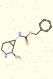 C[C@H]1NCC[C@]2(F)C1[C@H]2NC(=O)OCc1ccccc1